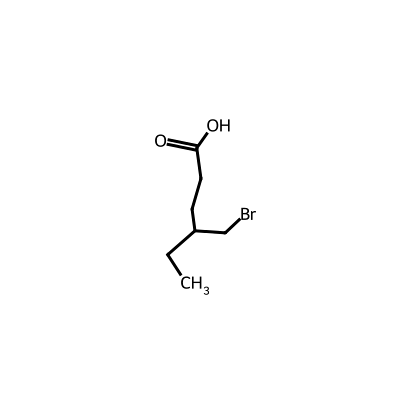 CCC(CBr)CCC(=O)O